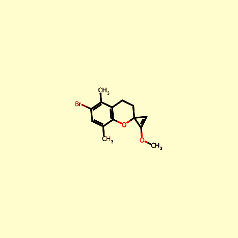 COC1=CC12CCc1c(C)c(Br)cc(C)c1O2